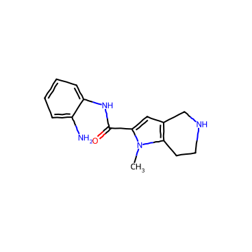 Cn1c(C(=O)Nc2ccccc2N)cc2c1CCNC2